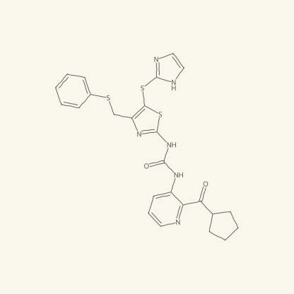 O=C(Nc1nc(CSc2ccccc2)c(Sc2ncc[nH]2)s1)Nc1cccnc1C(=O)C1CCCC1